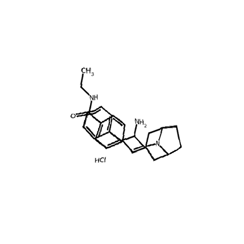 CCNC(=O)c1ccc(C=C2CC3CCC(C2)N3CC(N)Cc2ccccc2)cc1.Cl